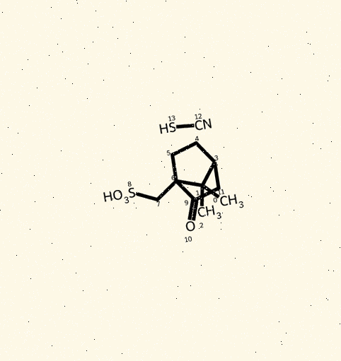 CC1(C)C2CCC1(CS(=O)(=O)O)C(=O)C2.N#CS